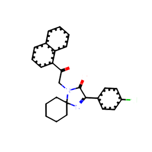 O=C(CN1C(=O)C(c2ccc(Cl)cc2)=NC12CCCCC2)c1cccc2ccccc12